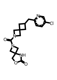 O=C1NC2(CO1)CN(C(=O)N1CC3(CC(Cc4ccc(Cl)cn4)C3)C1)C2